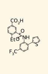 CCc1ccc(C(=O)O)cc1S(=O)(=O)Nc1cc(C(F)(F)F)ccc1-c1cccs1